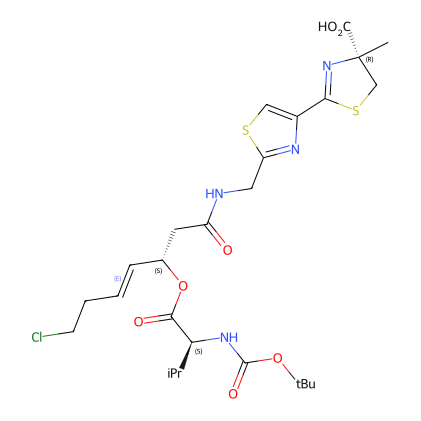 CC(C)[C@H](NC(=O)OC(C)(C)C)C(=O)O[C@H](/C=C/CCCl)CC(=O)NCc1nc(C2=N[C@](C)(C(=O)O)CS2)cs1